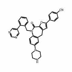 N#Cc1ccc(-c2cc3c(o2)C(=O)N(Cc2ccccc2-c2cncnc2)c2ccc(N4CCNCC4)cc2C3)cc1